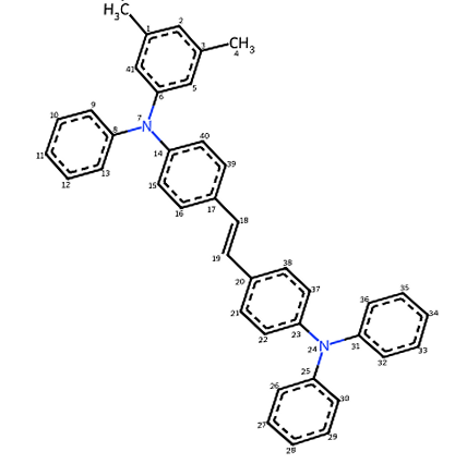 Cc1cc(C)cc(N(c2ccccc2)c2ccc(/C=C/c3ccc(N(c4ccccc4)c4ccccc4)cc3)cc2)c1